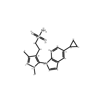 Cc1nn(C)c(-n2ccc3cc(C4CC4)cnc32)c1CCS(N)(=O)=O